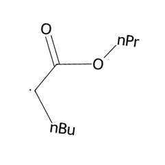 CCCC[CH]C(=O)OCCC